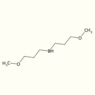 COCCCBCCCOC